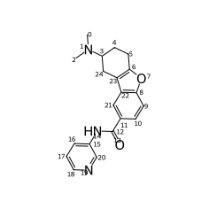 CN(C)C1CCc2oc3ccc(C(=O)Nc4cccnc4)cc3c2C1